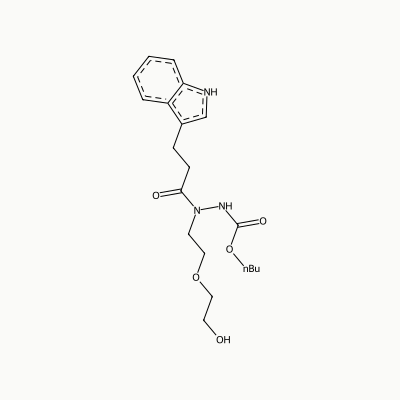 CCCCOC(=O)NN(CCOCCO)C(=O)CCc1c[nH]c2ccccc12